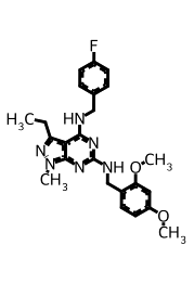 CCc1nn(C)c2nc(NCc3ccc(OC)cc3OC)nc(NCc3ccc(F)cc3)c12